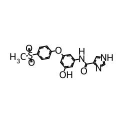 CS(=O)(=O)c1ccc(Oc2cc(O)cc(NC(=O)c3c[nH]cn3)c2)cc1